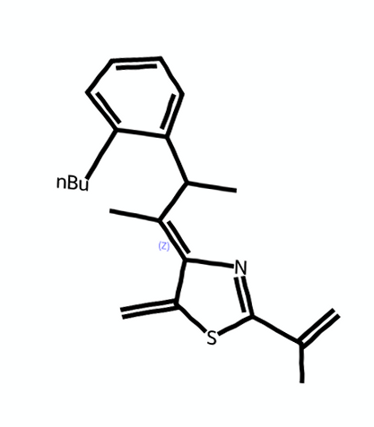 C=C(C)c1n/c(=C(/C)C(C)c2ccccc2CCCC)c(=C)s1